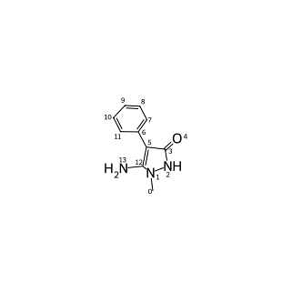 Cn1[nH]c(=O)c(-c2ccccc2)c1N